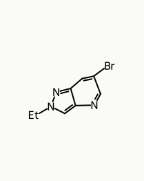 CCn1cc2ncc(Br)cc2n1